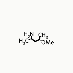 CO[C@@H](C)C[C@@H](C)N